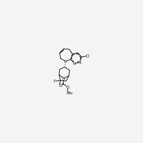 CC(C)(C)OC(=O)N1C2C[C@@H](N3CC=CCc4cc(Cl)nnc43)CC1C(F)(F)C2